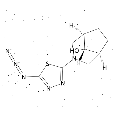 [N-]=[N+]=Nc1nnc(N2C[C@H]3CC[C@@H](C2)[C@@H]3O)s1